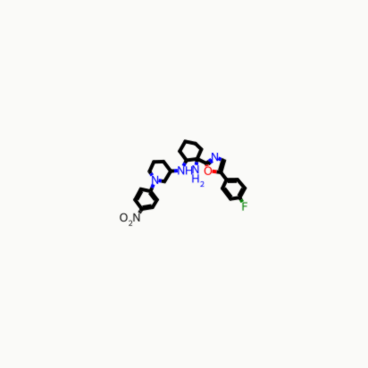 NC1(c2ncc(-c3ccc(F)cc3)o2)CCCCC1NC1CCCN(c2ccc([N+](=O)[O-])cc2)C1